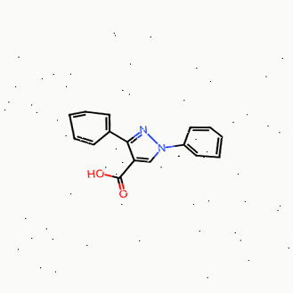 O=C(O)c1cn(-c2ccccc2)nc1-c1ccccc1